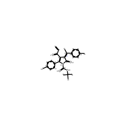 C=CC(=O)C1=C(c2ccc(I)cc2)N(C(=O)OC(C)(C)C)C(=O)/C1=C(/C)c1ccc(C)cc1